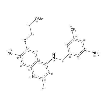 COCCOc1cc2c(NCc3cc(N)cc(C(F)(F)F)c3)nc(C)nc2cc1C#N